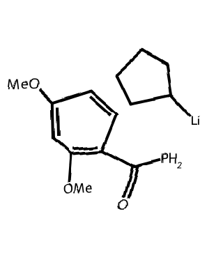 COc1ccc(C(=O)P)c(OC)c1.[Li][CH]1CCCC1